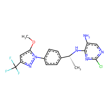 COc1cc(C(F)(F)F)nn1-c1ccc([C@@H](C)Nc2nc(Cl)ncc2N)cc1